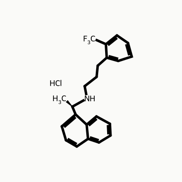 C[C@@H](NCCCc1ccccc1C(F)(F)F)c1cccc2ccccc12.Cl